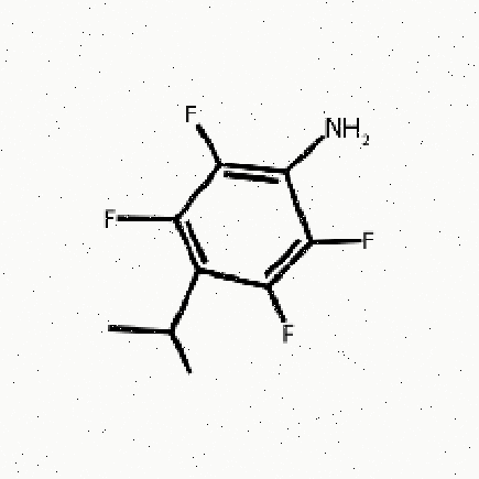 CC(C)c1c(F)c(F)c(N)c(F)c1F